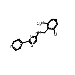 O=[N+]([O-])c1cccc(Cl)c1CNc1csc(-c2ccncc2)n1